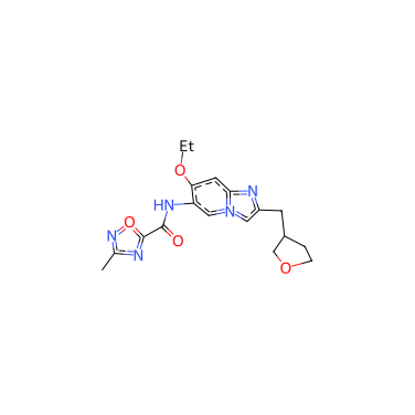 CCOc1cc2nc(CC3CCOC3)cn2cc1NC(=O)c1nc(C)no1